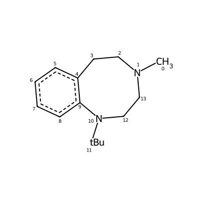 CN1CCc2ccccc2N(C(C)(C)C)CC1